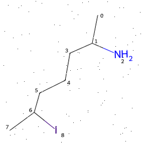 CC(N)CCCC(C)I